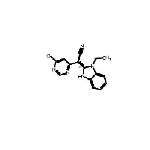 CCN1/C(=C(\C#N)c2cc(Cl)ncn2)Nc2ccccc21